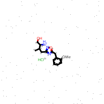 COc1ccccc1Cc1nc(CC(C)C(N)CO)no1.Cl